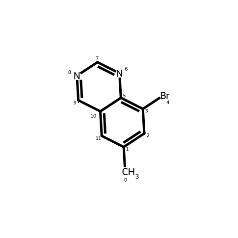 Cc1cc(Br)c2ncn[c]c2c1